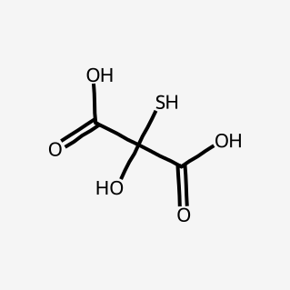 O=C(O)C(O)(S)C(=O)O